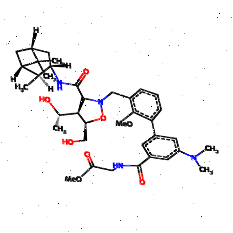 COC(=O)CNC(=O)c1cc(-c2cccc(CN3O[C@@H](CO)[C@@H]([C@H](C)O)C3C(=O)N[C@H]3C[C@H]4C[C@@H]([C@@H]3C)C4(C)C)c2OC)cc(N(C)C)c1